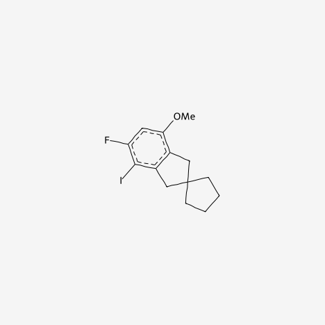 COc1cc(F)c(I)c2c1CC1(CCCC1)C2